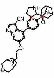 N#Cc1cnn2cc(OCCN3C4CCC3COC4)cc(-c3ccc(N4CC5CC(C4)N5C(=O)C4CCCN4)nc3)c12